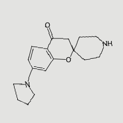 O=C1CC2(CCNCC2)Oc2cc(N3CCCC3)ccc21